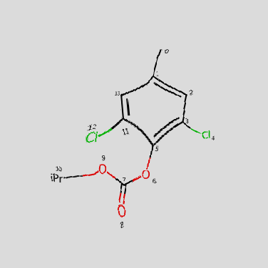 Cc1cc(Cl)c(OC(=O)OC(C)C)c(Cl)c1